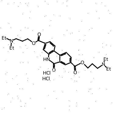 CCN(CC)CCCOC(=O)c1ccc2c(c1)[nH]c(=O)c1cc(C(=O)OCCCN(CC)CC)ccc12.Cl.Cl